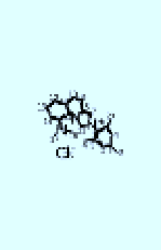 Cc1cc(C)c(-[n+]2cc3ccc4cccc(N(C)C)c4n3c2)c(C)c1.[Cl-]